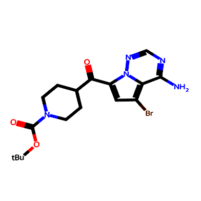 CC(C)(C)OC(=O)N1CCC(C(=O)c2cc(Br)c3c(N)ncnn23)CC1